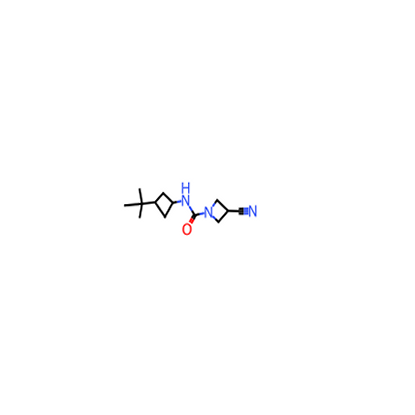 CC(C)(C)C1CC(NC(=O)N2CC(C#N)C2)C1